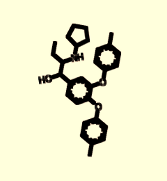 CCC(NC1CCCC1)C(O)c1ccc(Oc2ccc(C)cc2)c(Oc2ccc(C)cc2)c1